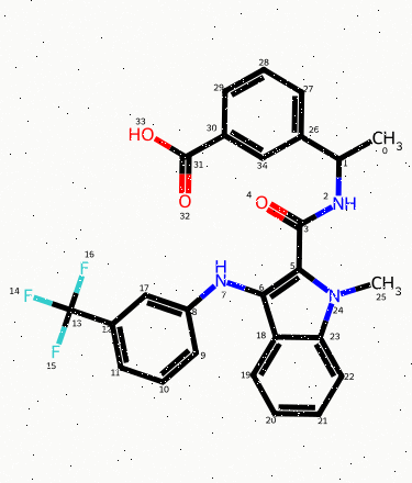 CC(NC(=O)c1c(Nc2cccc(C(F)(F)F)c2)c2ccccc2n1C)c1cccc(C(=O)O)c1